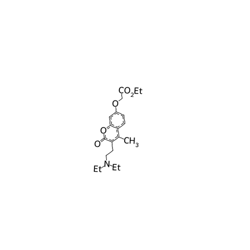 CCOC(=O)COc1ccc2c(C)c(CCN(CC)CC)c(=O)oc2c1